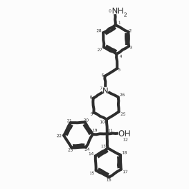 Nc1ccc(CCN2CCC(C(O)(c3ccccc3)c3ccccc3)CC2)cc1